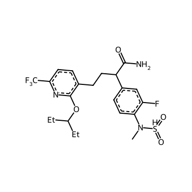 CCC(CC)Oc1nc(C(F)(F)F)ccc1CCC(C(N)=O)c1ccc(N(C)[SH](=O)=O)c(F)c1